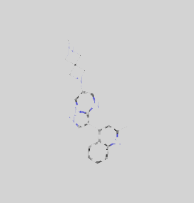 Cc1cc(-c2cnn3cc(N4CC5(CN(C)C5)C4)cnc23)c2ccccc2n1